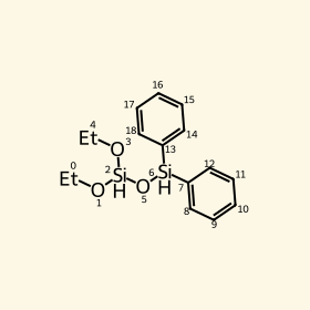 CCO[SiH](OCC)O[SiH](c1ccccc1)c1ccccc1